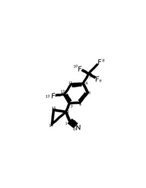 N#CC1(c2ccc(C(F)(F)F)cc2F)CC1